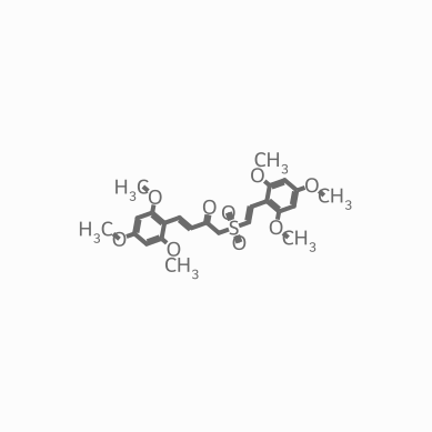 COc1cc(OC)c(C=CC(=O)CS(=O)(=O)C=Cc2c(OC)cc(OC)cc2OC)c(OC)c1